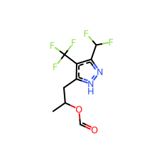 CC(Cc1[nH]nc(C(F)F)c1C(F)(F)F)OC=O